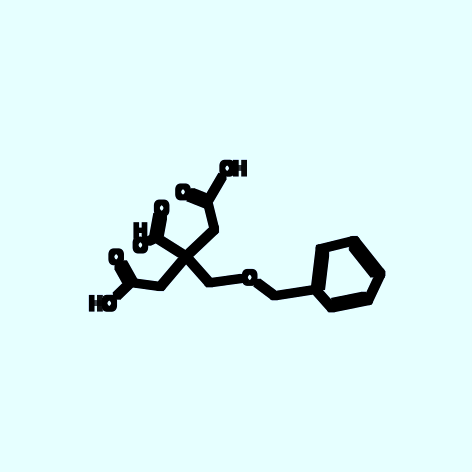 O=C(O)CC(COCc1ccccc1)(CC(=O)O)C(=O)O